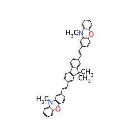 CN1c2ccccc2Oc2ccc(/C=C/c3ccc4c(c3)C(C)(C)c3cc(/C=C/c5ccc6c(c5)N(C)c5ccccc5O6)ccc3-4)cc21